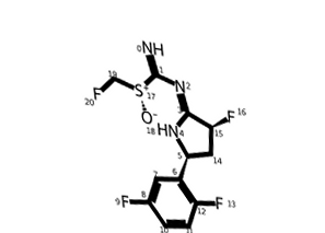 N=C(/N=C1\N[C@H](c2cc(F)ccc2F)C[C@@H]1F)[S@+]([O-])CF